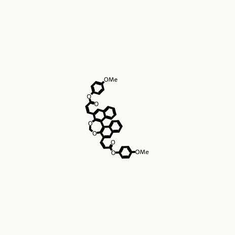 COc1ccc(OC(=O)/C=C\c2cc3ccccc3c3c2OCOc2c(/C=C\C(=O)Oc4ccc(OC)cc4)cc4ccccc4c2-3)cc1